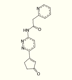 O=C1C=C(c2ccc(NC(=O)Cc3ccccn3)nn2)CC1